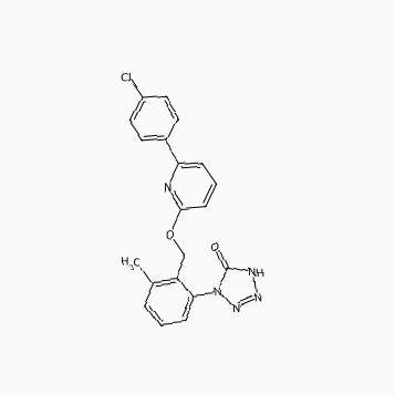 Cc1cccc(-n2nn[nH]c2=O)c1COc1cccc(-c2ccc(Cl)cc2)n1